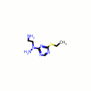 CCSc1ncnc(N(N)CCN)n1